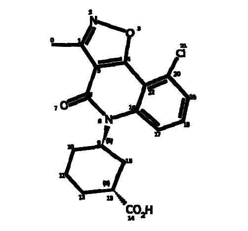 Cc1noc2c1c(=O)n([C@H]1CCC[C@@H](C(=O)O)C1)c1cccc(Cl)c21